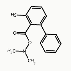 CN(C)OC(=O)c1c(S)cccc1-c1ccccc1